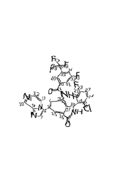 O=C(Nc1cc(-c2cnc3cnccn23)cc2c1C(c1cc(F)ccc1Cl)NC2=O)c1cc(F)cc(C(F)(F)F)c1